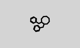 c1ccc(C[C]2CCCCCCC2Cc2ccccc2)cc1